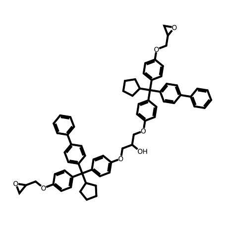 OC(COc1ccc(C(c2ccc(OCC3CO3)cc2)(c2ccc(-c3ccccc3)cc2)C2CCCC2)cc1)COc1ccc(C(c2ccc(OCC3CO3)cc2)(c2ccc(-c3ccccc3)cc2)C2CCCC2)cc1